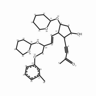 CC(=O)C#CC1C(O)CC(OC2CCCCO2)C1C=CC(COc1cccc(C)c1)OC1CCCCO1